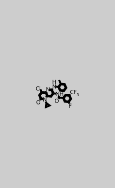 Cc1ccccc1Nc1nc2c(Cl)cc(=O)n(C3CC3)c2cc1NC(=O)c1cc(F)cc(C(F)(F)F)c1